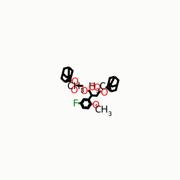 COc1ccc(F)cc1C(CC(=O)OC1(C)C2CC3CC(C2)CC1C3)C(=O)OCC(=O)OC1(C)C2CC3CC(C2)CC1C3